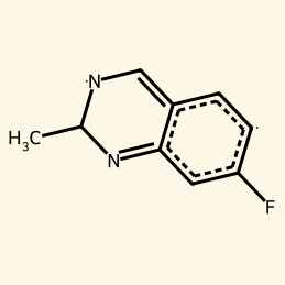 CC1[N]C=c2c[c]c(F)cc2=N1